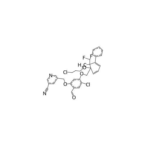 CC1(C(F)F)C(c2ccccc2)=CC=CC1(COc1cc(OCc2cncc(C#N)c2)c(C=O)cc1Cl)OCCCCl